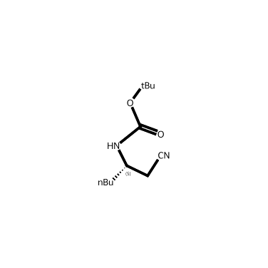 CCCC[C@@H](CC#N)NC(=O)OC(C)(C)C